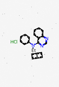 CCN(c1ccccc1)c1ncnc2ccccc12.Cl.c1cc2ccc1-2